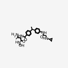 CC(c1ccc(NC(=O)CNC2CC2)cc1)c1ccc(C(=O)N[C@H](C(=O)NO)[C@@H](C)N)cc1